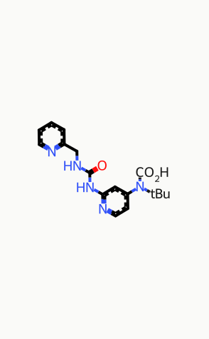 CC(C)(C)N(C(=O)O)c1ccnc(NC(=O)NCc2ccccn2)c1